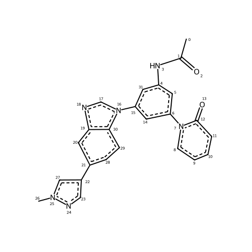 CC(=O)Nc1cc(-n2ccccc2=O)cc(-n2cnc3cc(-c4cnn(C)c4)ccc32)c1